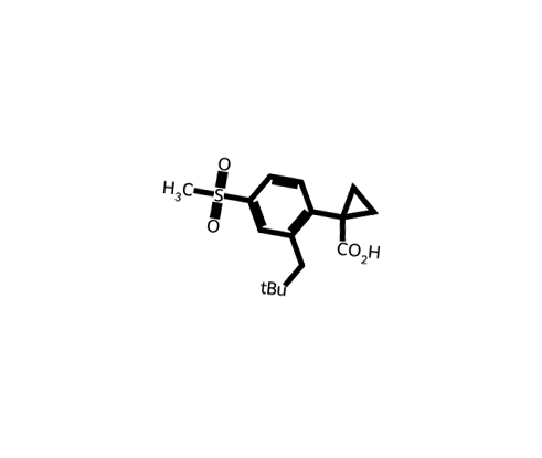 CC(C)(C)Cc1cc(S(C)(=O)=O)ccc1C1(C(=O)O)CC1